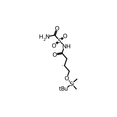 CC(C)(C)[Si](C)(C)OC[CH]CC(=O)NS(=O)(=O)C(N)=O